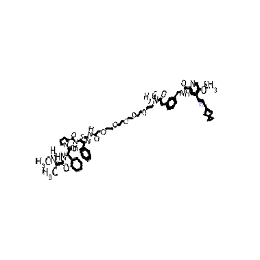 CN[C@@H](C)C(=O)N[C@H](C(=O)N1CCC[C@H]1C(=O)Nc1sc(NC(=O)COCCOCCOCCOCCOCCN(C)C(=O)Cc2cccc(CNC(=O)c3cc(/C=C/C4CC5(CC5)C4)c(OC)cn3)c2)nc1-c1ccccc1)C1CCCCC1